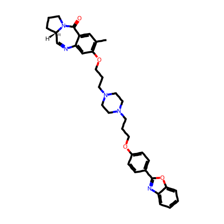 Cc1cc2c(cc1OCCCN1CCN(CCCOc3ccc(-c4nc5ccccc5o4)cc3)CC1)N=C[C@@H]1CCCN1C2=O